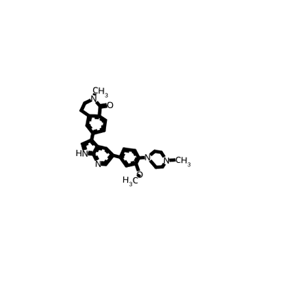 COc1cc(-c2cnc3[nH]cc(-c4ccc5c(c4)CCN(C)C5=O)c3c2)ccc1N1CCN(C)CC1